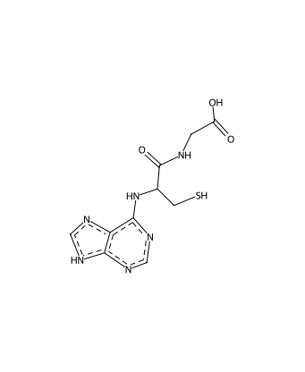 O=C(O)CNC(=O)C(CS)Nc1ncnc2[nH]cnc12